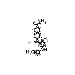 CCC(=O)N1CCC2(CCC(N(C)c3nc(Nc4cnn(C)c4)ncc3C)CC2)CC1